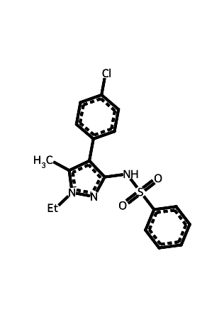 CCn1nc(NS(=O)(=O)c2ccccc2)c(-c2ccc(Cl)cc2)c1C